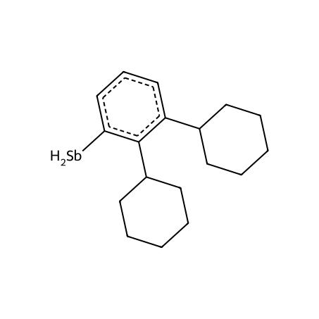 [SbH2][c]1cccc(C2CCCCC2)c1C1CCCCC1